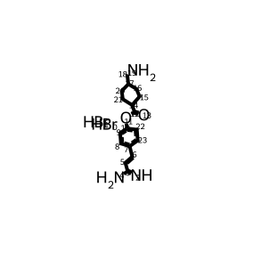 Br.Br.N=C(N)/C=C/c1ccc(OC(=O)C2CCC(CN)CC2)cc1